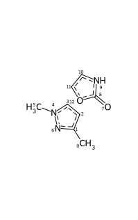 Cc1ccn(C)n1.O=c1[nH]cco1